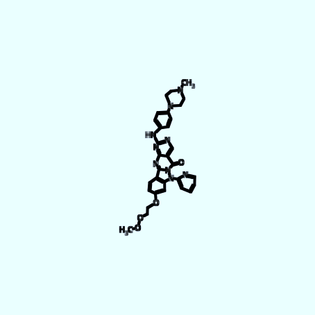 COOCCOc1ccc2c(c1)n(-c1ccccn1)n1c(=O)c3cnc(Nc4ccc(N5CCN(C)CC5)cc4)nc3nc21